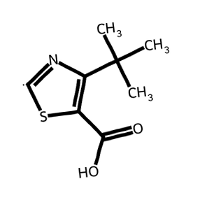 CC(C)(C)c1n[c]sc1C(=O)O